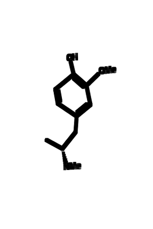 CN[C@H](C)Cc1ccc(O)c(OC)c1